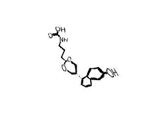 O=C(O)NCCC[C@H]1OC[C@H](c2cccc3cc(O)ccc32)CO1